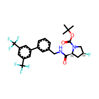 CC(C)(C)OC(=O)N1C[C@@H](F)C[C@H]1C(=O)NCc1cccc(-c2cc(C(F)(F)F)cc(C(F)(F)F)c2)c1